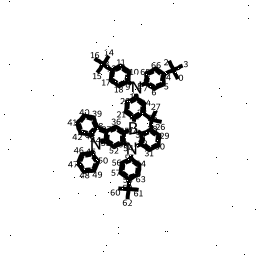 CC(C)(C)c1ccc(N(c2ccc(C(C)(C)C)cc2)c2ccc3c(c2)C(C)(C)c2cccc4c2B3c2cc3c5ccccc5n(-c5ccccc5)c3cc2N4c2ccc(C(C)(C)C)cc2)cc1